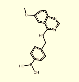 COc1ccc2ncnc(NCc3ccc(B(O)O)cc3)c2c1